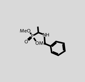 COP(=O)(OC)C(C)NCc1ccccc1